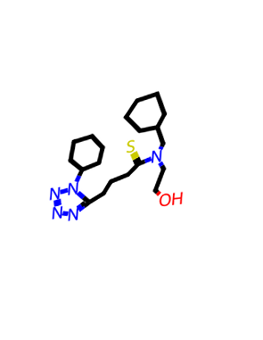 OCCN(CC1CCCCC1)C(=S)CCCc1nnnn1C1CCCCC1